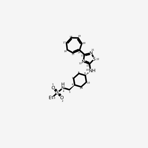 CCS(=O)(=O)NC[C@H]1CC[C@H](Nc2nc(C3=CCC=CC=C3)ns2)CC1